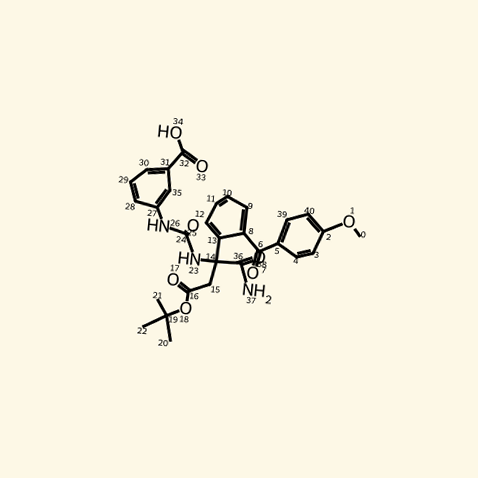 COc1ccc(C(=O)c2ccccc2C(CC(=O)OC(C)(C)C)(NC(=O)Nc2cccc(C(=O)O)c2)C(N)=O)cc1